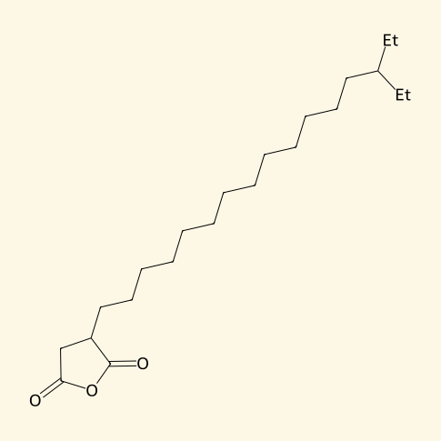 CCC(CC)CCCCCCCCCCCCCC1CC(=O)OC1=O